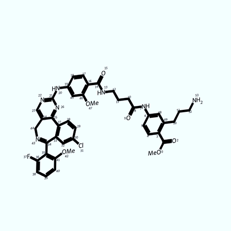 COC(=O)c1ccc(NC(=O)CCCNC(=O)c2ccc(Nc3ncc4c(n3)-c3ccc(Cl)cc3C(c3c(F)cccc3OC)=NC4)cc2OC)cc1CCCN